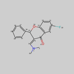 CN(C)C=C1C(=O)c2cc(F)ccc2OC1c1ccccc1